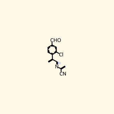 C=C(C#N)/N=C/C(=C)c1ccc(C=O)cc1Cl